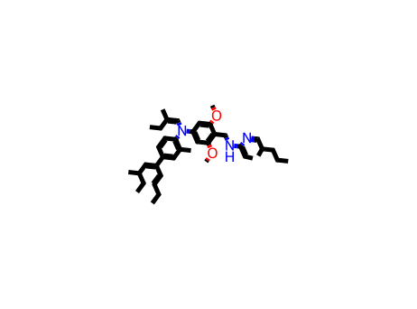 C/C=C(\N=C/C(C)CCC)NCc1c(OC)cc(N(/C=C(/C)CC)c2ccc(C(/C=C/CC)=C/C(C)CC)cc2C)cc1OC